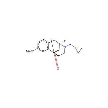 COc1ccc2c(c1)[C@]13CCN(CC4CC4)[C@H](C2)C1C=CC(=O)C3